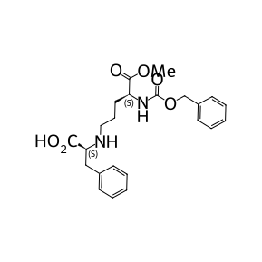 COC(=O)[C@H](CCCN[C@@H](Cc1ccccc1)C(=O)O)NC(=O)OCc1ccccc1